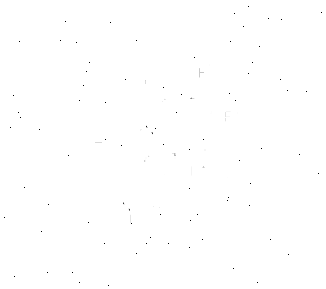 O=c1c(F)c(F)c(F)c2n1C[C@@H]1CNC[C@H]2C1